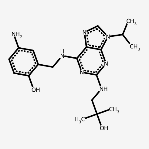 CC(C)n1cnc2c(NCc3cc(N)ccc3O)nc(NCC(C)(C)O)nc21